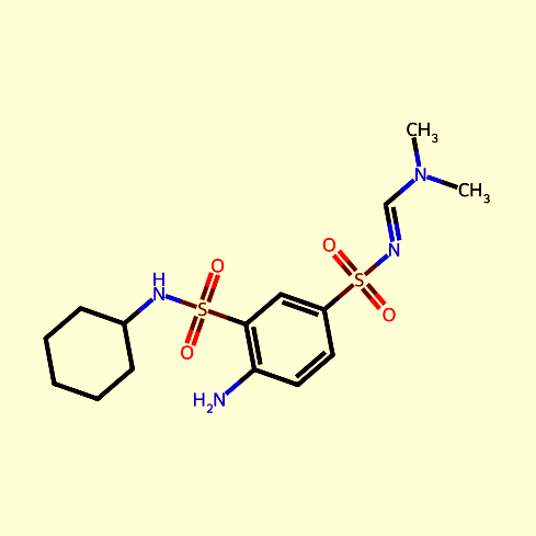 CN(C)C=NS(=O)(=O)c1ccc(N)c(S(=O)(=O)NC2CCCCC2)c1